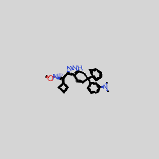 CO/N=C(/c1n[nH]c2c1C=CC(c1ccccc1)(c1cccc(N(C)C)c1)C2)C1CCC1